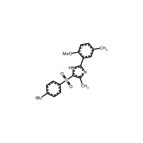 COc1ccc(C)cc1-c1nc(C)c(S(=O)(=O)c2ccc(C(C)(C)C)cc2)[nH]1